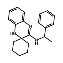 CC(NC1=Nc2ccccc2NC12CCCCC2)c1ccccc1